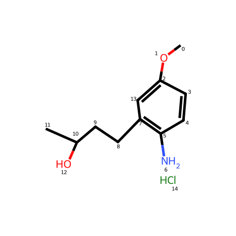 COc1ccc(N)c(CCC(C)O)c1.Cl